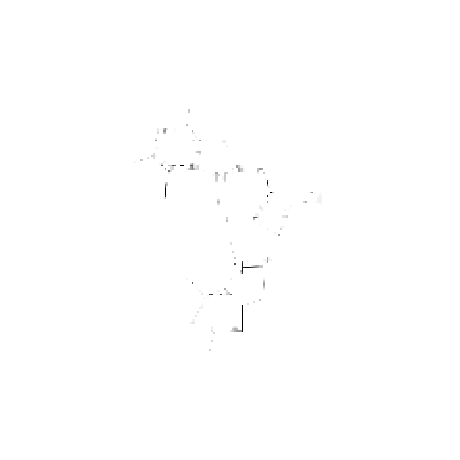 Cc1c(C)c(C)c2c(c1C)CC(=CC1=C(O)C(C=C3Cc4c(C)c(C)c(C)c(C)c4N3C)=C1O)N2C